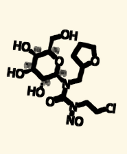 O=NN(CCCl)C(=O)N(CC1CCCO1)[C@@H]1O[C@H](CO)[C@H](O)[C@H](O)[C@H]1O